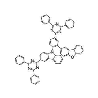 c1ccc(-c2nc(-c3ccccc3)nc(-c3ccc(-n4c5ccccc5c5cc(-c6nc(-c7ccccc7)nc(-c7ccccc7)n6)ccc54)c(-c4ccc5oc6ccccc6c5c4)c3)n2)cc1